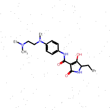 CCN(C)CCN(CC)c1ccc(NC(=O)C2=C(O)C(CC(C)C)NC2=O)cc1